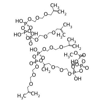 C=C(C)COCOCOP(=O)(O)OP(=O)(O)OP(=O)(O)OCOCOCC(=C)C.C=C(C)COCOCOP(=O)(O)OP(=O)(OCOCOCC(=C)C)OC(=C)COCOCOP(=O)(O)OP(=O)(O)OP(=O)(O)OC